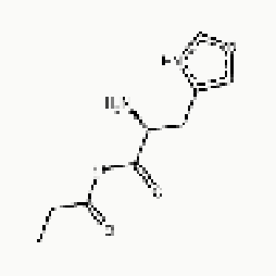 CCC(=O)OC(=O)[C@@H](N)Cc1cnc[nH]1